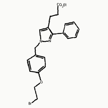 CCOC(=O)CCc1cn(Cc2ccc(OCCBr)cc2)nc1-c1ccccc1